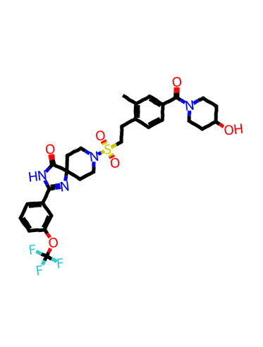 Cc1cc(C(=O)N2CCC(O)CC2)ccc1CCS(=O)(=O)N1CCC2(CC1)N=C(c1cccc(OC(F)(F)F)c1)NC2=O